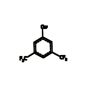 FC(F)(F)c1c[c]([Ga])cc(C(F)(F)F)c1